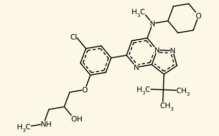 CNCC(O)COc1cc(Cl)cc(-c2cc(N(C)C3CCOCC3)n3ncc(C(C)(C)C)c3n2)c1